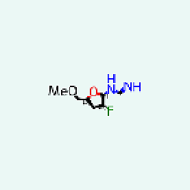 COC[C@@H]1C[C@@H](F)[C@H](NC=N)O1